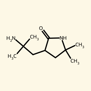 CC(C)(N)CC1CC(C)(C)NC1=O